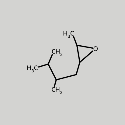 CC(C)C(C)CC1OC1C